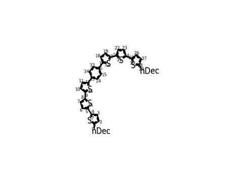 CCCCCCCCCCc1ccc(-c2ccc(-c3ccc(-c4ccc(-c5ccc(-c6ccc(-c7ccc(CCCCCCCCCC)s7)s6)s5)cc4)s3)s2)s1